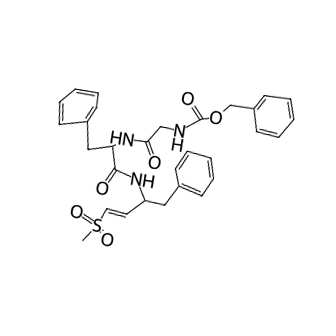 CS(=O)(=O)/C=C/C(Cc1ccccc1)NC(=O)C(Cc1ccccc1)NC(=O)CNC(=O)OCc1ccccc1